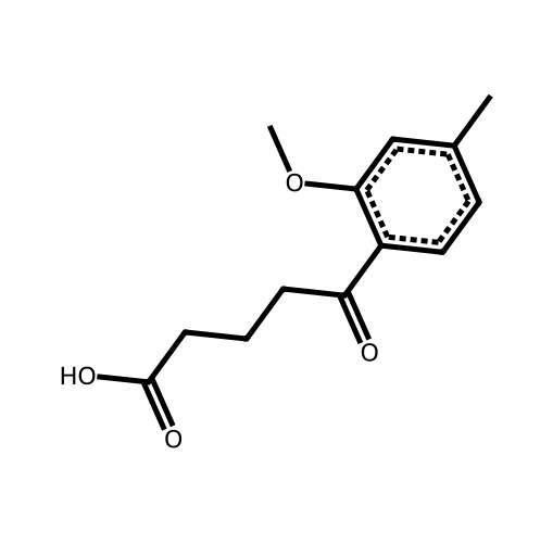 COc1cc(C)ccc1C(=O)CCCC(=O)O